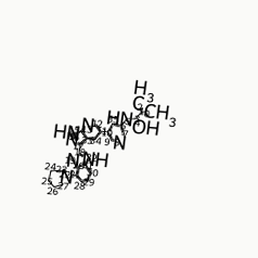 CC(C)C(O)Nc1cncc(-c2cnc3[nH]nc(-c4nc5c(N6CCCCC6)cccc5[nH]4)c3c2)c1